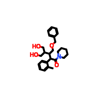 Cc1ccccc1C(C(=O)N1CCCCC1)C(COCc1ccccc1)C(CO)CO